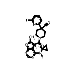 Cc1oc2ncnc(N(I)C3(C)CC3)c2c1C(=O)N1CCC(C#N)(c2cccc(F)n2)CC1